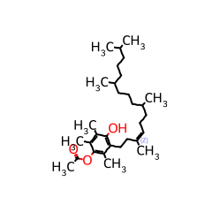 CC(=O)Oc1c(C)c(C)c(O)c(CC/C(C)=C\CCC(C)CCCC(C)CCCC(C)C)c1C